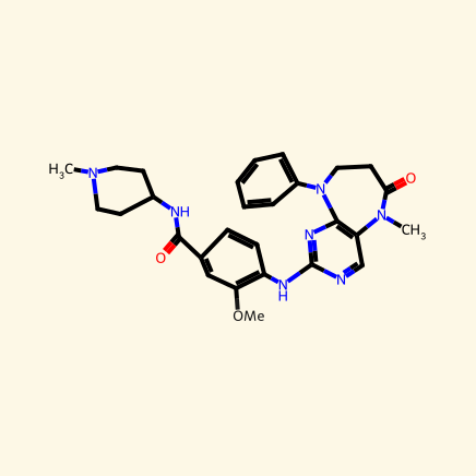 COc1cc(C(=O)NC2CCN(C)CC2)ccc1Nc1ncc2c(n1)N(c1ccccc1)CCC(=O)N2C